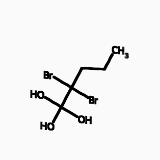 CCCC(Br)(Br)C(O)(O)O